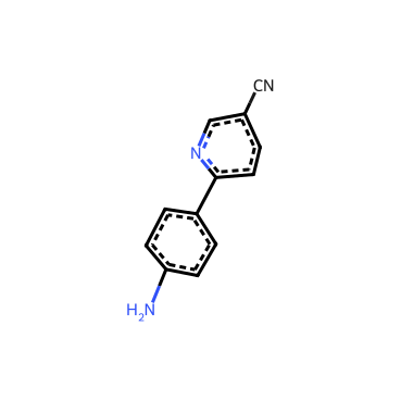 N#Cc1ccc(-c2ccc(N)cc2)nc1